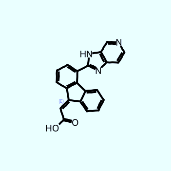 O=C(O)/C=C1\c2ccccc2-c2c1cccc2-c1nc2ccncc2[nH]1